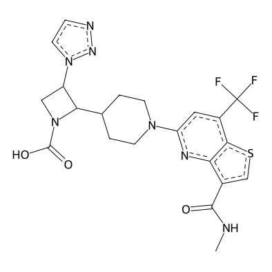 CNC(=O)c1csc2c(C(F)(F)F)cc(N3CCC(C4C(n5ccnn5)CN4C(=O)O)CC3)nc12